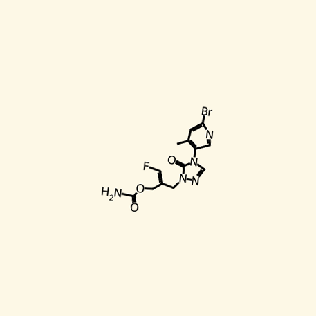 Cc1cc(Br)ncc1-n1cnn(CC(=CF)COC(N)=O)c1=O